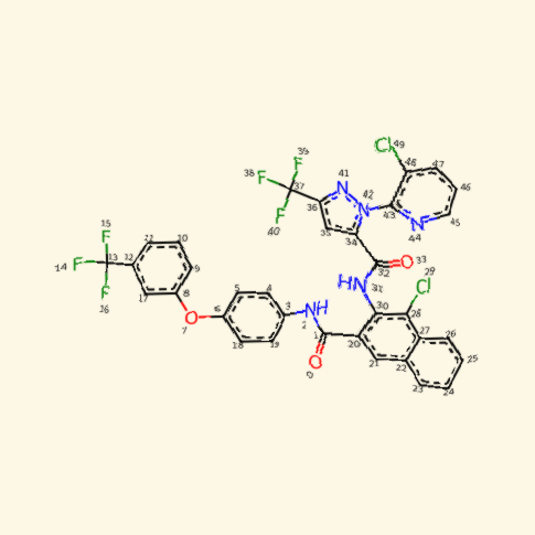 O=C(Nc1ccc(Oc2cccc(C(F)(F)F)c2)cc1)c1cc2ccccc2c(Cl)c1NC(=O)c1cc(C(F)(F)F)nn1-c1ncccc1Cl